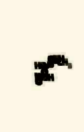 Cc1cc2c(OCCC(O)N3CCC(O)(c4cnc5ccccc5c4)CC3)cccc2[nH]1